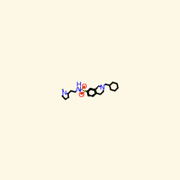 CN1CCCC1CCNS(=O)(=O)c1ccc2c(c1)CN(CC1CCCCC1)CC2